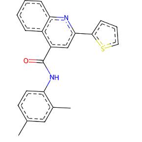 Cc1ccc(NC(=O)c2cc(-c3cccs3)nc3ccccc23)c(C)c1